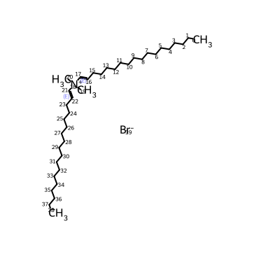 CCCCCCCCCCCCCCCC/C=C/[N+](C)(C)/C=C/CCCCCCCCCCCCCCCC.[Br-]